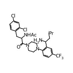 CC(=O)NC(Cc1ccc(Cl)cc1Cl)C(=O)N1CCN(c2ccc(C(F)(F)F)cc2C(N)CC(C)C)CC1